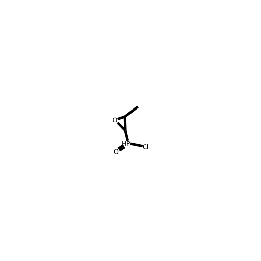 CC1OC1[PH](=O)Cl